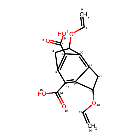 C=COC1Cc2c(C(=O)O)c1c1c(c2C(=O)O)C(OC=C)C1